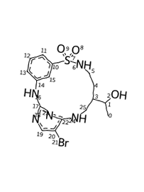 CC(O)C1CCNS(=O)(=O)c2cccc(c2)Nc2ncc(Br)c(n2)NC1